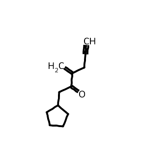 C#CCC(=C)C(=O)CC1CCCC1